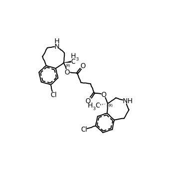 C[C@]1(OC(=O)CCC(=O)O[C@@]2(C)CNCCc3ccc(Cl)cc32)CNCCc2ccc(Cl)cc21